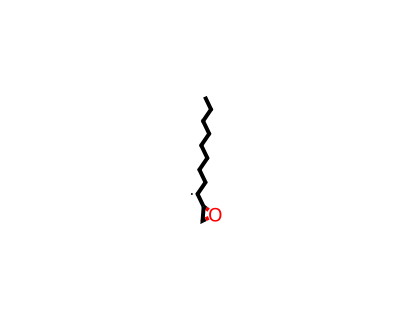 CCCCCCCC[CH]C1CO1